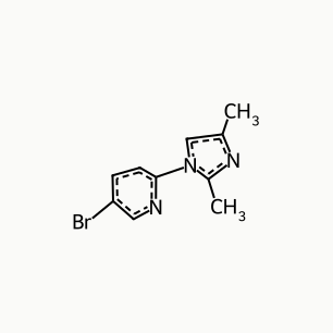 Cc1cn(-c2ccc(Br)cn2)c(C)n1